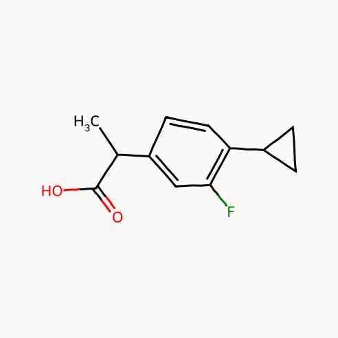 CC(C(=O)O)c1ccc(C2CC2)c(F)c1